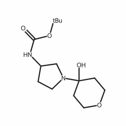 CC(C)(C)OC(=O)NC1CCN(C2(O)CCOCC2)C1